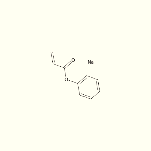 C=CC(=O)Oc1ccccc1.[Na]